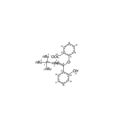 CCCC[P+](CCCC)(CCCC)CCCC.O=C(Oc1ccccc1C(=O)[O-])c1ccccc1O